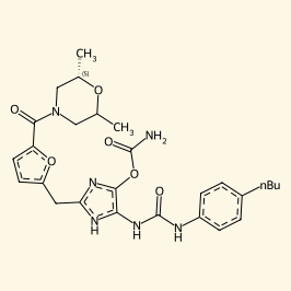 CCCCc1ccc(NC(=O)Nc2[nH]c(Cc3ccc(C(=O)N4CC(C)O[C@@H](C)C4)o3)nc2OC(N)=O)cc1